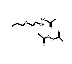 CC(=O)O.CC(=O)OOC(C)=O.OCCOCCO